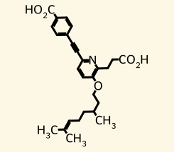 CC(C)=CCCC(C)CCOc1ccc(C#Cc2ccc(C(=O)O)cc2)nc1CCC(=O)O